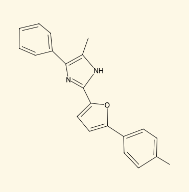 Cc1ccc(-c2ccc(-c3nc(-c4ccccc4)c(C)[nH]3)o2)cc1